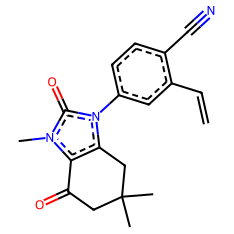 C=Cc1cc(-n2c3c(n(C)c2=O)C(=O)CC(C)(C)C3)ccc1C#N